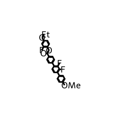 CCOc1ccc(OC(=O)c2ccc(-c3ccc(-c4ccc(OC)cc4)c(F)c3F)cc2)c(F)c1